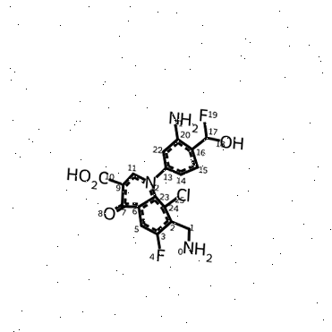 NCc1c(F)cc2c(=O)c(C(=O)O)cn(-c3ccc(C(O)F)c(N)c3)c2c1Cl